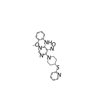 COc1ccccc1Nc1ncnc(N2CCC(Sc3ccccn3)CC2)c1N=O